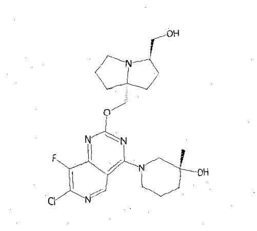 C[C@@]1(O)CCCN(c2nc(OC[C@]34CCCN3[C@@H](CO)CC4)nc3c(F)c(Cl)ncc23)C1